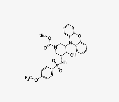 CC(C)(C)OC(=O)N1CC(N2c3ccccc3Oc3ccccc32)C(O)[C@H](NS(=O)(=O)c2ccc(OC(F)(F)F)cc2)C1